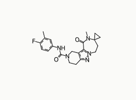 Cc1cc(NC(=O)N2CCc3nn4c(c3C2)C(=O)N(C)C2(CC4)CC2)ccc1F